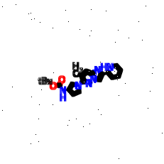 Cc1cc2nc([C@@H]3CCCCN3)cn2nc1N1CC[C@H](NC(=O)OC(C)(C)C)C1